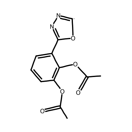 CC(=O)Oc1cccc(-c2nn[c]o2)c1OC(C)=O